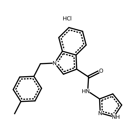 Cc1ccc(Cn2cc(C(=O)Nc3cc[nH]n3)c3ccccc32)cc1.Cl